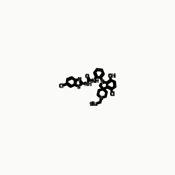 CC(C)(C)CN1CCC2(CC1)CN(c1ccccc1NC(=O)Nc1nc3ccc(Cl)cc3s1)c1c(O)ccc(Cl)c12